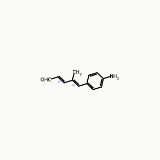 CC(/C=C/C=O)=C\c1ccc(N)cc1